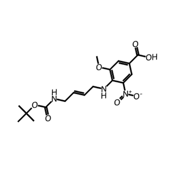 COc1cc(C(=O)O)cc([N+](=O)[O-])c1NCC=CCNC(=O)OC(C)(C)C